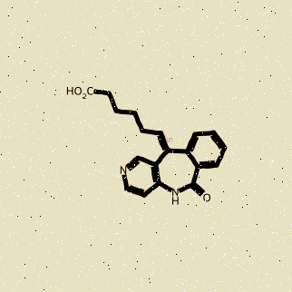 O=C(O)CCCC/C=C1\c2cnccc2NC(=O)c2ccccc21